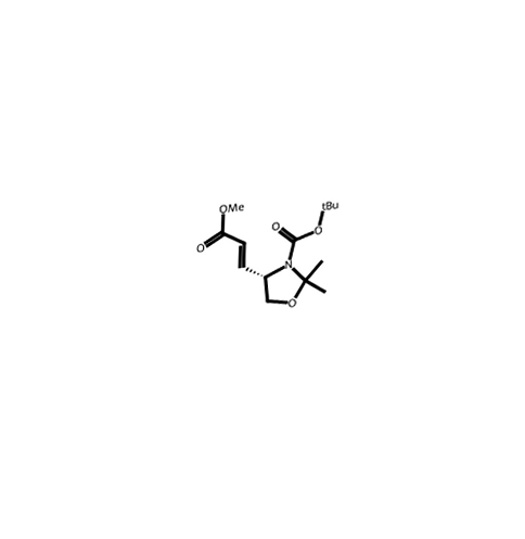 COC(=O)/C=C/[C@H]1COC(C)(C)N1C(=O)OC(C)(C)C